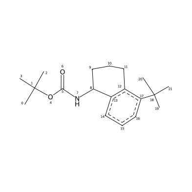 CC(C)(C)OC(=O)NC1CCCc2c1cccc2C(C)(C)C